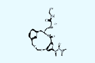 CC[C@H](NC[C@@H]1Cc2cccc(c2)CCCCc2cc(cc(N(C)[S+]([O-])N(C)C)c2)C(=O)N1)C(=O)NCC(C)C